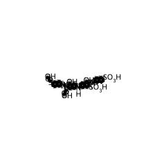 O=S(=O)(O)c1ccc2cc(/N=N/c3c(S(=O)(=O)O)cc4cc(Nc5ccc6c(O)c(/N=N/c7ccc8cc(SOOO)ccc8c7)c(SOOO)cc6c5)ccc4c3O)ccc2c1